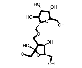 OCC1O[C@H](COCC2[C@@H](O)[C@@H](CO)O[C@]2(O)CO)C(O)[C@H](O)[C@@H]1O